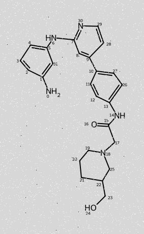 Nc1cccc(Nc2cc(-c3ccc(NC(=O)CN4CCCC(CO)C4)cc3)ccn2)c1